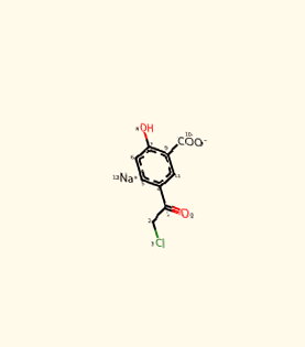 O=C(CCl)c1ccc(O)c(C(=O)[O-])c1.[Na+]